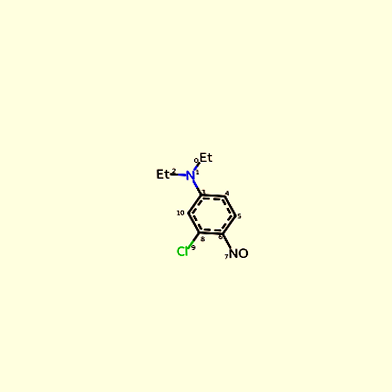 CCN(CC)c1ccc(N=O)c(Cl)c1